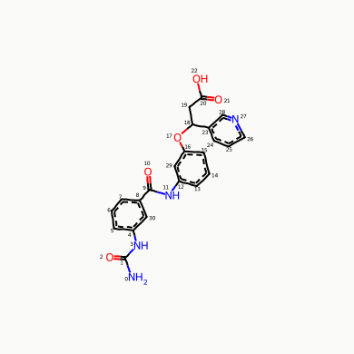 NC(=O)Nc1cccc(C(=O)Nc2cccc(OC(CC(=O)O)c3cccnc3)c2)c1